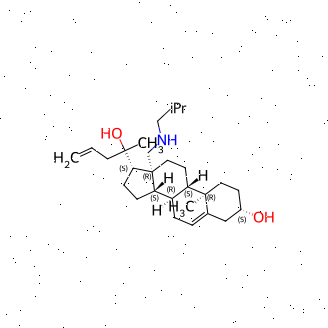 C=CCC(C)(O)[C@H]1CC[C@H]2[C@@H]3CC=C4C[C@@H](O)CC[C@]4(C)[C@H]3CC[C@]12CNCC(C)C